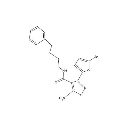 Nc1onc(-c2ccc(Br)s2)c1C(=O)NCCCCc1ccccc1